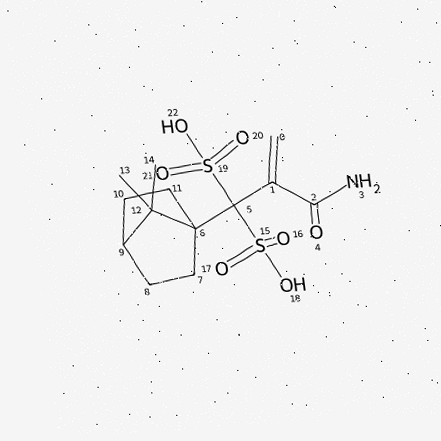 C=C(C(N)=O)C(C12CCC(CC1)C2(C)C)(S(=O)(=O)O)S(=O)(=O)O